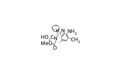 COC(=O)[C@@H](Cc1cc(C)c(N)c(N)c1)N(Cc1ccccc1)C(=O)O